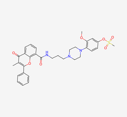 COc1cc(OS(C)(=O)=O)ccc1N1CCN(CCCNC(=O)c2cccc3c(=O)c(C)c(-c4ccccc4)oc23)CC1